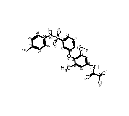 Cc1cc(NC(=O)C(=O)O)cc(C)c1Oc1cccc(S(=O)(=O)Nc2ccc(F)cc2)c1